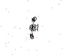 O=C=NCCCCCCNC(=O)CC(=O)NCCCCCCN=C=O